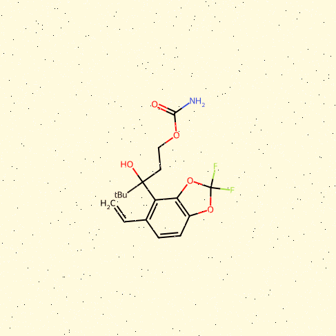 C=Cc1ccc2c(c1C(O)(CCOC(N)=O)C(C)(C)C)OC(F)(F)O2